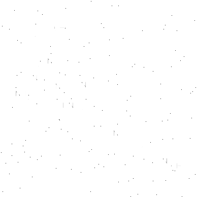 CC(C)c1cc2cnc(Nc3ccc(N4CCC5(CCN(C)CC5)CC4)cc3)nc2n1-c1cccc(N)n1